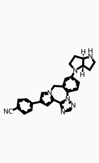 N#Cc1ccc(-c2cc3n(c2)Cc2cc(N4CC[C@H]5NCC[C@@H]54)ccc2-n2ncnc2-3)cc1